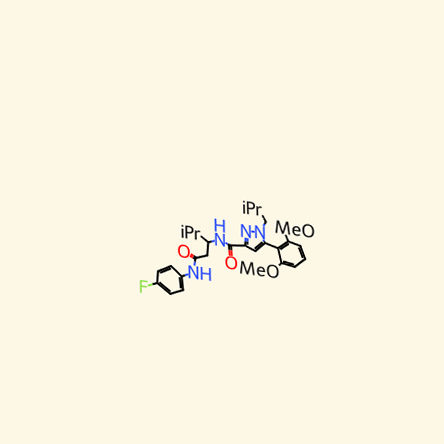 COc1cccc(OC)c1-c1cc(C(=O)NC(CC(=O)Nc2ccc(F)cc2)C(C)C)nn1CC(C)C